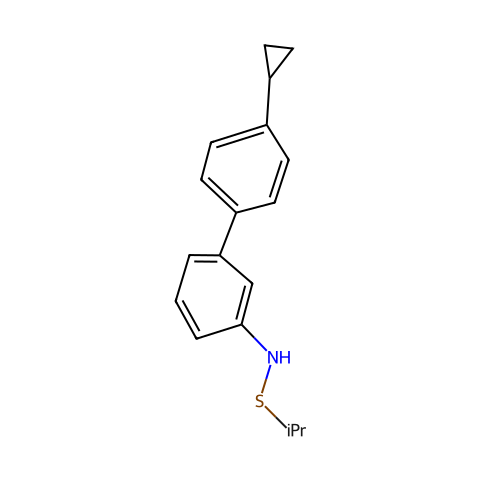 CC(C)SNc1cccc(-c2ccc(C3CC3)cc2)c1